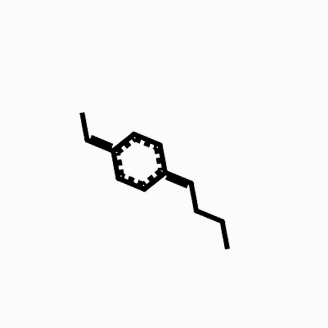 CC=c1ccc(=CCCC)cc1